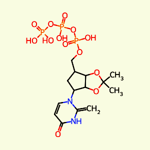 C=C1NC(=O)C=CN1C1CC(COP(=O)(O)OP(=O)(O)OP(=O)(O)O)C2OC(C)(C)OC21